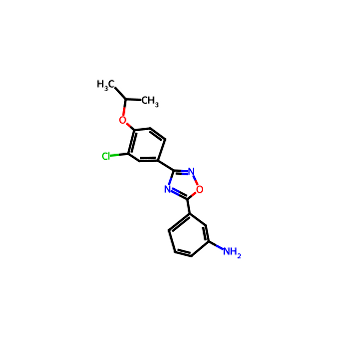 CC(C)Oc1ccc(-c2noc(-c3cccc(N)c3)n2)cc1Cl